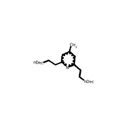 [CH2]c1cc(CCCCCCCCCCCC)nc(CCCCCCCCCCCC)c1